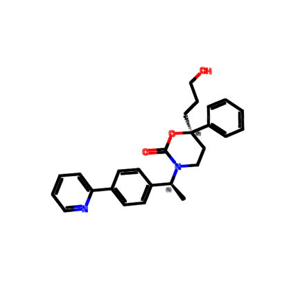 C[C@@H](c1ccc(-c2ccccn2)cc1)N1CC[C@](CCCO)(c2ccccc2)OC1=O